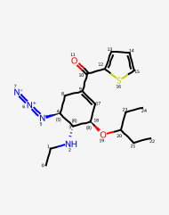 CCN[C@@H]1[C@@H](N=[N+]=[N-])CC(C(=O)c2cccs2)=C[C@H]1OC(CC)CC